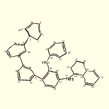 C1=CC[C@@H](c2cccc(-c3cccc(-c4ccc(NC5=C6C=CC=CC6CCC5)cc4Nc4ccccc4)c3)c2)C=C1